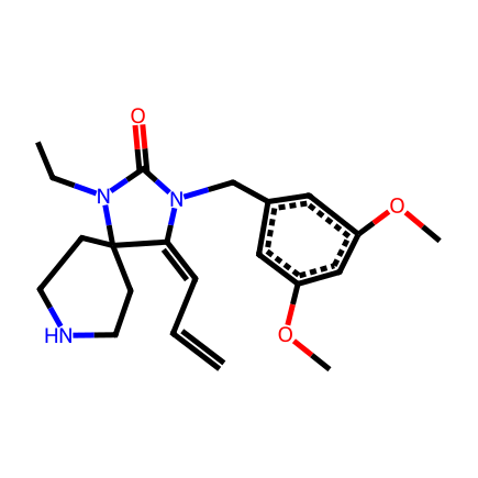 C=C/C=C1/N(Cc2cc(OC)cc(OC)c2)C(=O)N(CC)C12CCNCC2